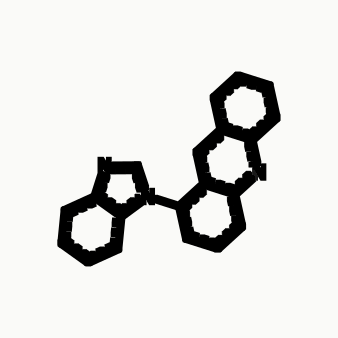 c1ccc2nc3cccc(-n4cnc5ccccc54)c3cc2c1